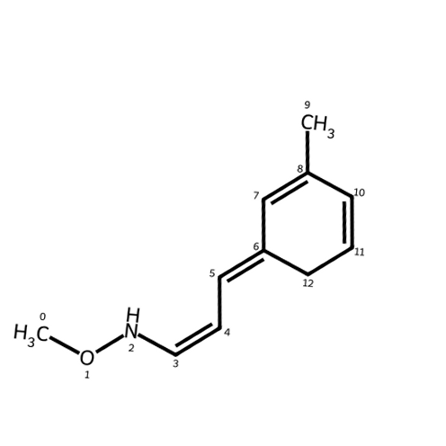 CON/C=C\C=C1\C=C(C)C=CC1